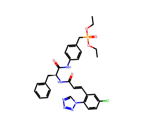 CCOP(=O)(Cc1ccc(NC(=O)[C@H](Cc2ccccc2)NC(=O)C=Cc2cc(Cl)ccc2-n2cnnn2)cc1)OCC